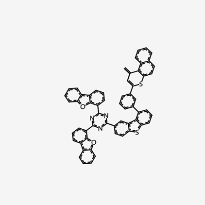 C=C1C=C(c2cccc(-c3cccc4sc5ccc(-c6nc(-c7cccc8c7oc7ccccc78)nc(-c7cccc8c7oc7ccccc78)n6)cc5c34)c2)Sc2ccc3ccccc3c21